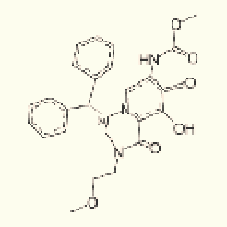 COCCN1C[C@H](C(c2ccccc2)c2ccccc2)n2cc(NC(=O)OC)c(=O)c(O)c2C1=O